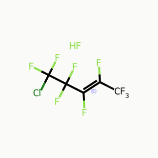 F.F/C(=C(/F)C(F)(F)C(F)(F)Cl)C(F)(F)F